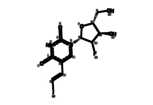 O=c1[nH]c(=O)n([C@@H]2O[C@H](CO)[C@@H](O)C2F)cc1/C=C/I